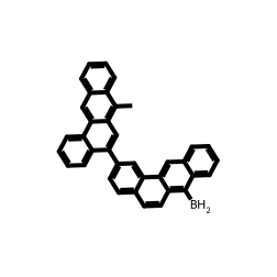 Bc1c2ccccc2cc2c1ccc1ccc(-c3cc4c(C)c5ccccc5cc4c4ccccc34)cc12